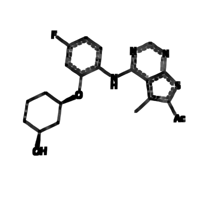 CC(=O)c1sc2ncnc(Nc3ccc(F)cc3O[C@@H]3CCC[C@H](O)C3)c2c1C